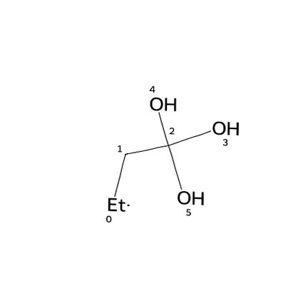 C[CH]CC(O)(O)O